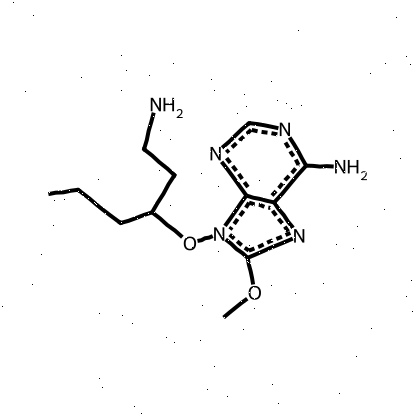 CCCC(CCN)On1c(OC)nc2c(N)ncnc21